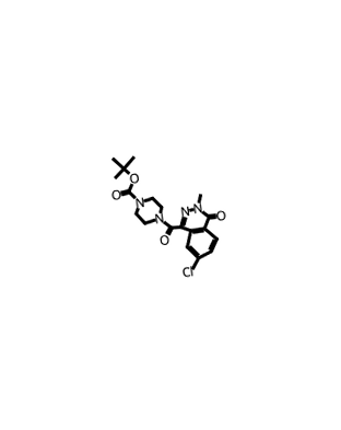 Cn1nc(C(=O)N2CCN(C(=O)OC(C)(C)C)CC2)c2cc(Cl)ccc2c1=O